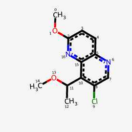 COc1ccc2ncc(Cl)c(C(C)OC)c2n1